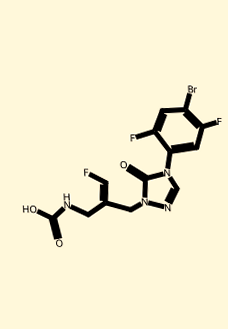 O=C(O)NCC(=CF)Cn1ncn(-c2cc(F)c(Br)cc2F)c1=O